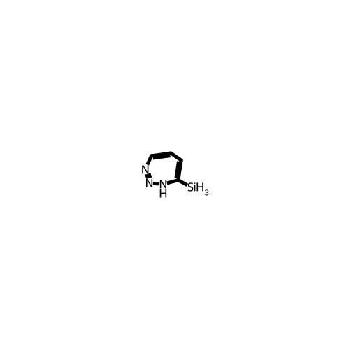 [SiH3]C1=CC=CN=NN1